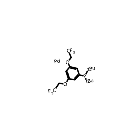 CC(C)(C)P(c1cc(OCC(F)(F)F)cc(OCC(F)(F)F)c1)C(C)(C)C.[Pd]